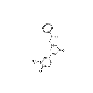 Cn1cc(C2=CC(=O)CN(CC(=O)c3ccccc3)C2)ccc1=O